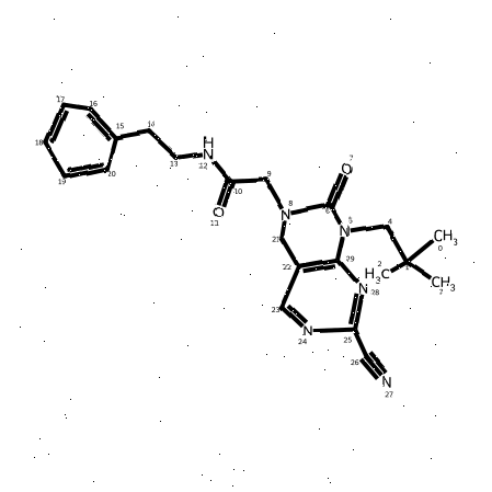 CC(C)(C)CN1C(=O)N(CC(=O)NCCc2ccccc2)Cc2cnc(C#N)nc21